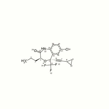 CCC[C@@H]1O[C@](C#CC2CC2)(C(F)(F)F)c2cc(Cl)ccc2NC1=O